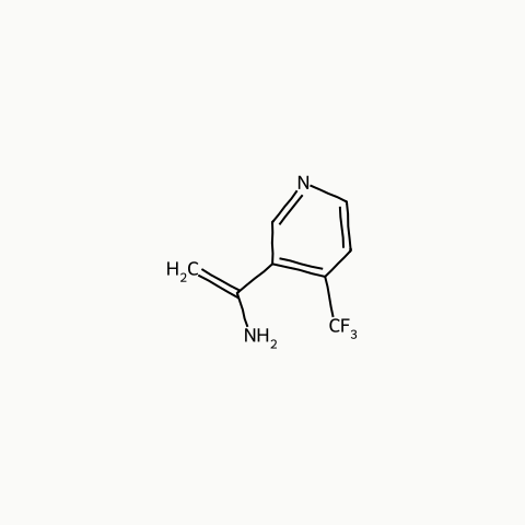 C=C(N)c1cnccc1C(F)(F)F